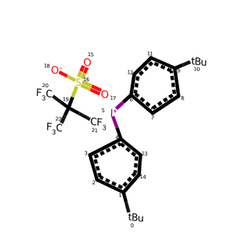 CC(C)(C)c1ccc([I+]c2ccc(C(C)(C)C)cc2)cc1.O=S(=O)([O-])C(C(F)(F)F)(C(F)(F)F)C(F)(F)F